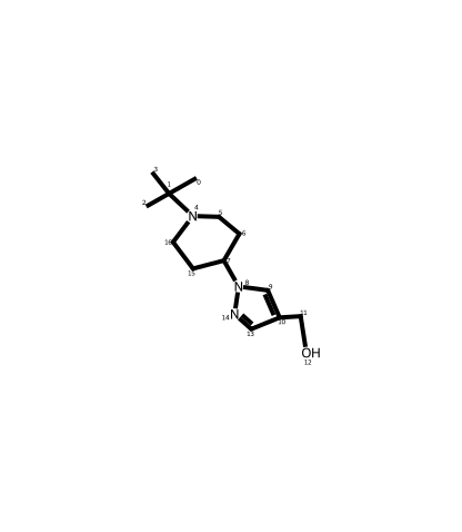 CC(C)(C)N1CCC(n2cc(CO)cn2)CC1